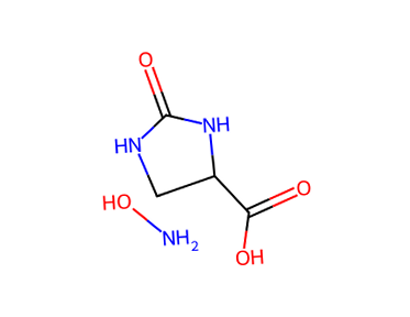 NO.O=C1NCC(C(=O)O)N1